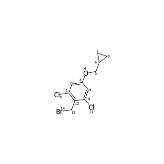 Clc1cc(OCC2CC2)cc(Cl)c1CBr